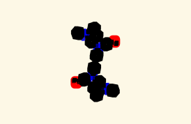 COc1ccc(N(c2ccc(-c3ccc(N(c4ccc(OC)cc4)c4ccc5c6c4ccc4cccc(c46)n5-c4ccccc4)cc3)cc2)c2ccc3c4c2ccc2cccc(c24)n3-c2ccccc2)cc1